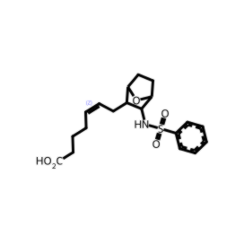 O=C(O)CCC/C=C\CC1C2CCC(O2)C1NS(=O)(=O)c1ccccc1